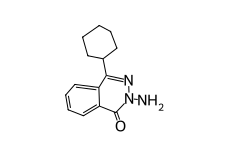 Nn1nc(C2CCCCC2)c2ccccc2c1=O